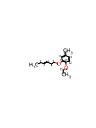 CCC=CCCOc1cc(C)ccc1OCC